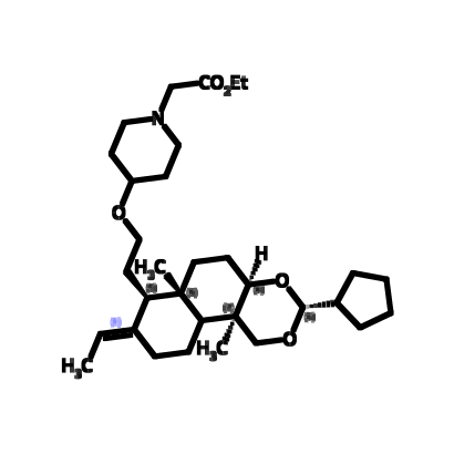 C/C=C1\CCC2[C@]3(C)CO[C@@H](C4CCCC4)O[C@@H]3CC[C@@]2(C)[C@@H]1CCOC1CCN(CC(=O)OCC)CC1